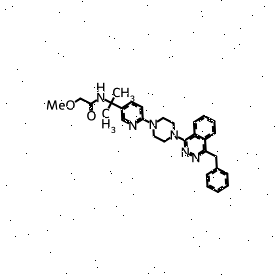 COCC(=O)NC(C)(C)c1ccc(N2CCN(c3nnc(Cc4ccccc4)c4ccccc34)CC2)nc1